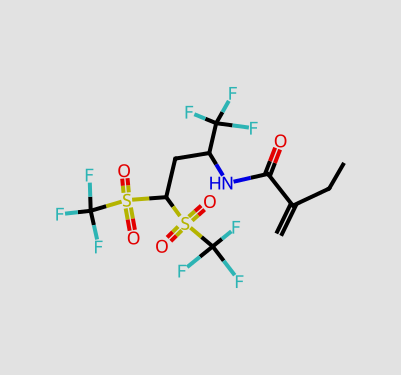 C=C(CC)C(=O)NC(CC(S(=O)(=O)C(F)(F)F)S(=O)(=O)C(F)(F)F)C(F)(F)F